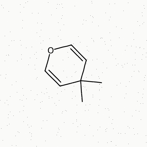 CC1(C)C=COC=C1